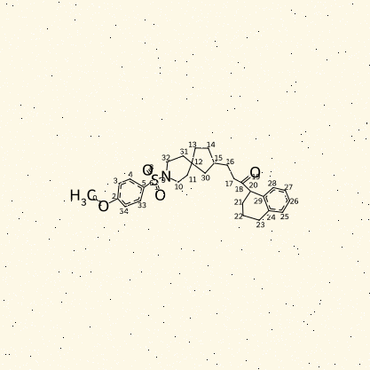 COc1ccc(S(=O)(=O)N2CCC3(CCC(CCC(=O)C4CCCc5ccccc54)C3)CC2)cc1